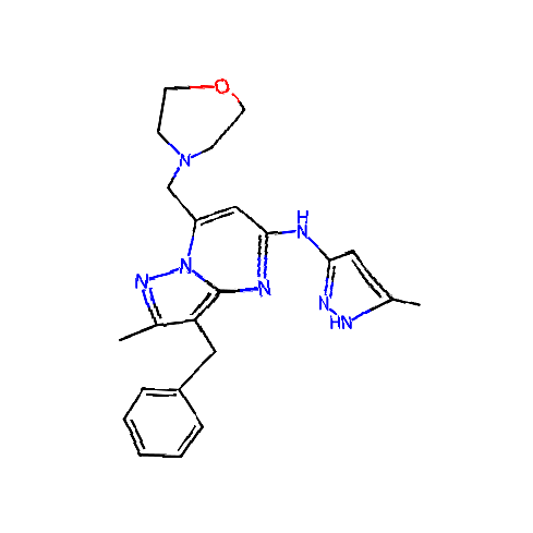 Cc1cc(Nc2cc(CN3CCOCC3)n3nc(C)c(Cc4ccccc4)c3n2)n[nH]1